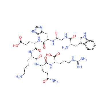 N=C(N)NCCC[C@H](NC(=O)[C@H](CCC(N)=O)NC(=O)[C@H](CCCCN)NC(=O)[C@H](CCC(=O)O)NC(=O)[C@H](Cc1c[nH]cn1)NC(=O)CNC(=O)[C@@H](N)Cc1c[nH]c2ccccc12)C(=O)O